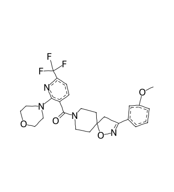 COc1cccc(C2=NOC3(CCN(C(=O)c4ccc(C(F)(F)F)nc4N4CCOCC4)CC3)C2)c1